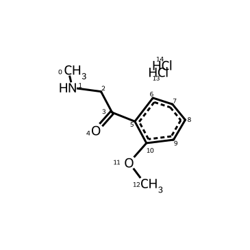 CNCC(=O)c1ccccc1OC.Cl.Cl